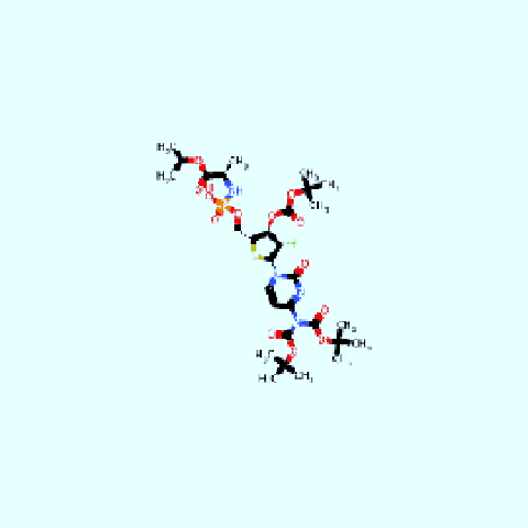 CC(C)OC(=O)[C@H](C)NP(=O)(O)OC[C@H]1S[C@@H](n2ccc(N(C(=O)OC(C)(C)C)C(=O)OC(C)(C)C)nc2=O)[C@@H](F)[C@@H]1OC(=O)OC(C)(C)C